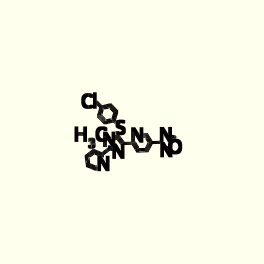 Cn1c(-c2ccccn2)nc(-c2ccc(-c3ncon3)cn2)c1Sc1ccc(Cl)cc1